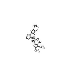 CC(=O)c1c(NC(=O)NCc2c(-n3cccc3)sc3c2CCNC3)sc(C)c1C